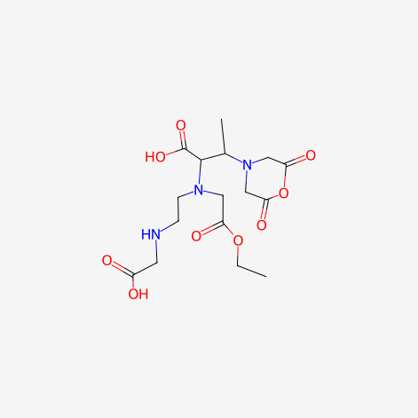 CCOC(=O)CN(CCNCC(=O)O)C(C(=O)O)C(C)N1CC(=O)OC(=O)C1